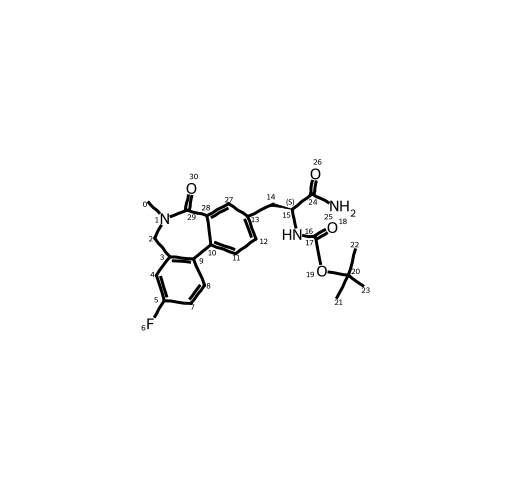 CN1Cc2cc(F)ccc2-c2ccc(C[C@H](NC(=O)OC(C)(C)C)C(N)=O)cc2C1=O